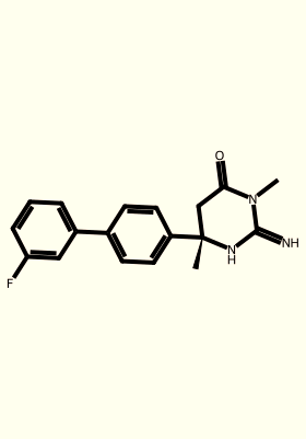 CN1C(=N)N[C@](C)(c2ccc(-c3cccc(F)c3)cc2)CC1=O